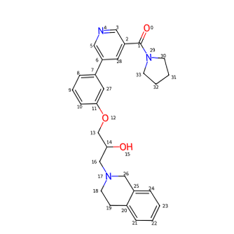 O=C(c1cncc(-c2cccc(OCC(O)CN3CCc4ccccc4C3)c2)c1)N1CCCC1